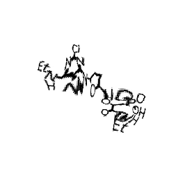 CCNC(=O)[C@@H](OC[C@@H]1CC[C@H](n2cnc3c(NCC)nc(Cl)nc32)O1)P(=O)(O)O